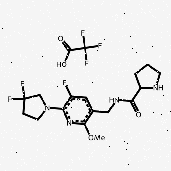 COc1nc(N2CCC(F)(F)C2)c(F)cc1CNC(=O)C1CCCN1.O=C(O)C(F)(F)F